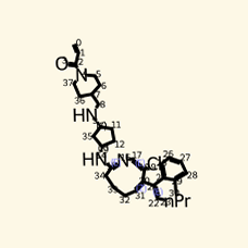 C=CC(=O)N1CCC(CN[C@H]2CC[C@@H](N/C3=N/C=C(Cl)\C(C(=C\CCC)\c4ccccc4C)=C/CCC3)C2)CC1